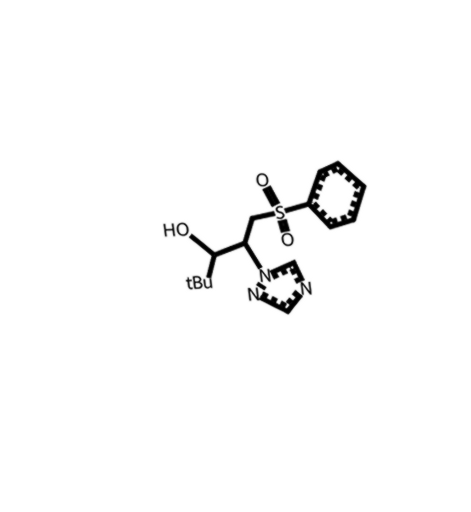 CC(C)(C)C(O)C(CS(=O)(=O)c1ccccc1)n1cncn1